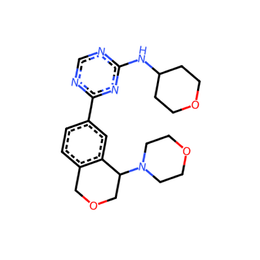 c1nc(NC2CCOCC2)nc(-c2ccc3c(c2)C(N2CCOCC2)COC3)n1